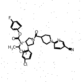 CC(C)N(C(=O)Oc1ccc(F)cc1)[C@@H]1CN(C(=O)C2CCN(c3ccc(C#N)cn3)CC2)C[C@H]1c1ccc(Cl)cc1